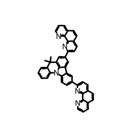 CC1(C)c2ccccc2-n2c3ccc(-c4ccc5ccc6cccnc6c5n4)cc3c3cc(-c4ccc5ccc6cccnc6c5n4)cc1c32